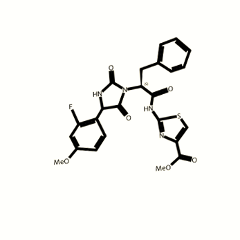 COC(=O)c1csc(NC(=O)[C@H](Cc2ccccc2)N2C(=O)NC(c3ccc(OC)cc3F)C2=O)n1